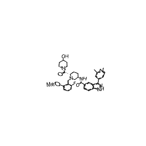 COc1cccc(F)c1CN1C[C@H](NC(=O)c2ccc3[nH]nc(-c4ccnc(C)c4)c3c2)CC[C@H]1C(=O)N1CCC(O)CC1